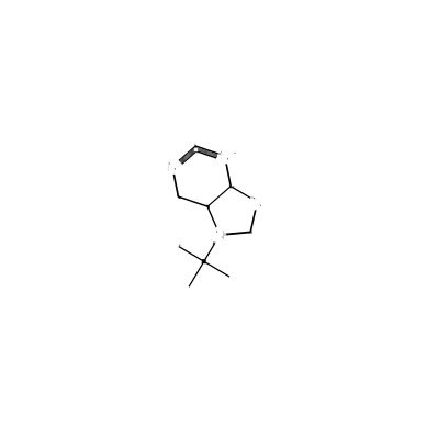 CC(C)(C)N1CNC2N=C=NCC21